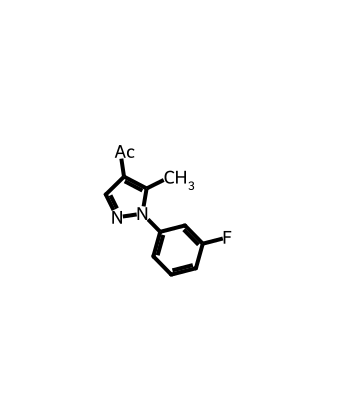 CC(=O)c1cnn(-c2cccc(F)c2)c1C